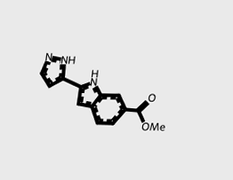 COC(=O)c1ccc2cc(-c3ccn[nH]3)[nH]c2c1